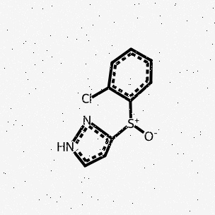 [O-][S+](c1cc[nH]n1)c1ccccc1Cl